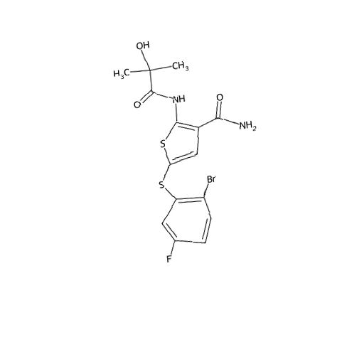 CC(C)(O)C(=O)Nc1sc(Sc2cc(F)ccc2Br)cc1C(N)=O